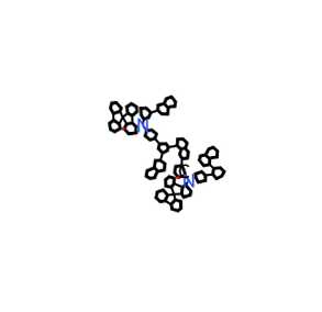 c1cc(-c2ccc3ccccc3c2)cc(N(c2ccc(-c3cc(-c4ccc5ccccc5c4)cc(-c4cccc5ccc(-c6cccc(N(c7ccc(-c8ccccc8-c8cccc9ccccc89)cc7)c7cccc8c7-c7ccccc7C87c8ccccc8-c8ccccc87)c6)cc45)c3)cc2)c2cccc3c2-c2ccccc2C32c3ccccc3-c3ccccc32)c1